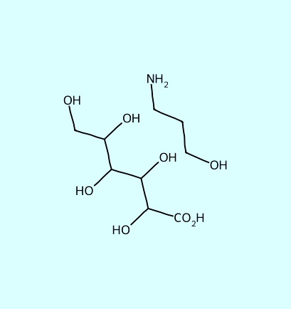 NCCCO.O=C(O)C(O)C(O)C(O)C(O)CO